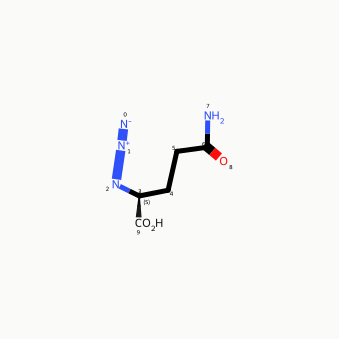 [N-]=[N+]=N[C@@H](CCC(N)=O)C(=O)O